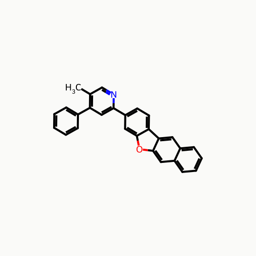 Cc1cnc(-c2ccc3c(c2)oc2cc4ccccc4cc23)cc1-c1ccccc1